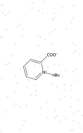 CCCC[n+]1ccccc1C(=O)[O-]